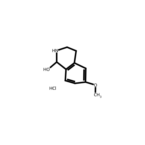 COc1ccc2c(c1)CCNC2O.Cl